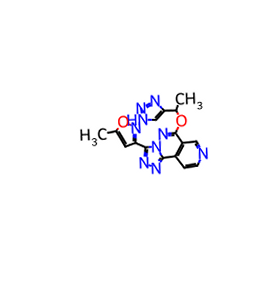 Cc1cc(-c2nnc3c4ccncc4c(OC(C)c4c[nH]nn4)nn23)no1